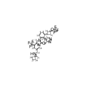 Cn1cnnc1[C@]1(c2cccc(-n3cc4c(C(F)(F)F)cc(CNC5(C)CCC5)cn4c3=O)c2)C[C@H](OC(F)(F)F)C1